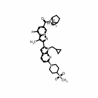 Cc1c(-c2cc3ccc(N4CCC(S(C)(=O)=O)CC4)nc3n2CC2CC2)nn2cc(C(=O)N3CC4CCC3[C@@H]4N)cc(F)c12